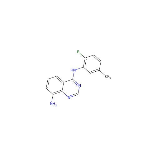 Nc1cccc2c(Nc3cc(C(F)(F)F)ccc3F)ncnc12